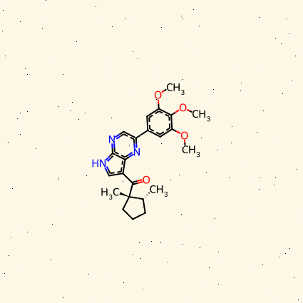 COc1cc(-c2cnc3[nH]cc(C(=O)[C@@]4(C)CCC[C@H]4C)c3n2)cc(OC)c1OC